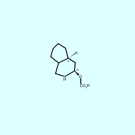 O=C(O)O[C@@H]1C[C@@H]2CCCCC2CN1